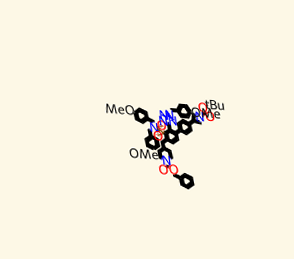 COc1ccc(CN(Cc2ccc(OC)cc2)S(=O)(=O)c2c(CC3CCN(C(=O)OCc4ccccc4)CC3)ccc(-c3ccc(C4CN(C(=O)OC(C)(C)C)C4)cc3)c2-c2nnn(Cc3ccc(OC)cc3)n2)cc1